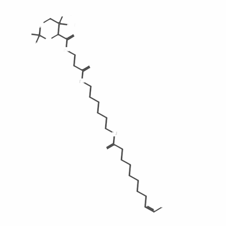 CCCCCCCC/C=C\CCCCCCCC(=O)NCCCCCCNC(=O)CCNC(=O)C1OC(C)(C)OCC1(C)C